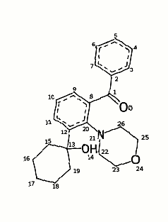 O=C(c1ccccc1)c1cccc(C2(O)CCCCC2)c1N1CCOCC1